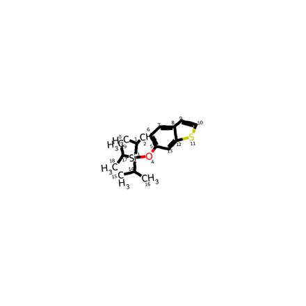 CC(C)[Si](Oc1ccc2ccsc2c1)(C(C)C)C(C)C